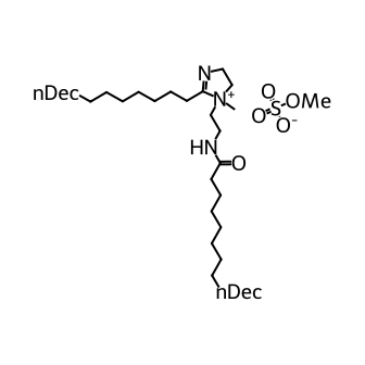 CCCCCCCCCCCCCCCCCC(=O)NCC[N+]1(C)CCN=C1CCCCCCCCCCCCCCCCC.COS(=O)(=O)[O-]